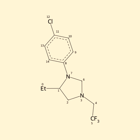 CCC1CN(CC(F)(F)F)CN1c1ccc(Cl)cc1